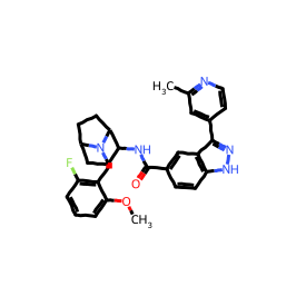 COc1cccc(F)c1CN1C2CCC(NC(=O)c3ccc4[nH]nc(-c5ccnc(C)c5)c4c3)C1CC2